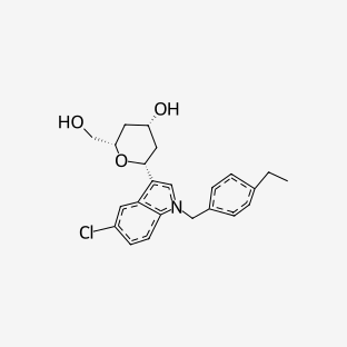 CCc1ccc(Cn2cc([C@H]3C[C@@H](O)C[C@@H](CO)O3)c3cc(Cl)ccc32)cc1